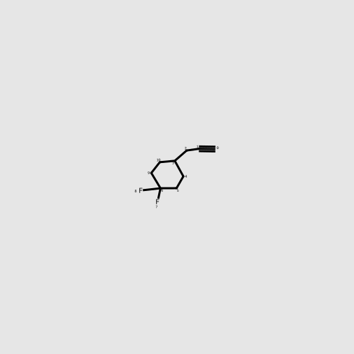 C#CCC1CCC(F)(F)CC1